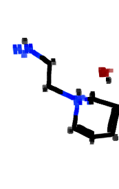 NCC[n+]1ccccc1.[Br-]